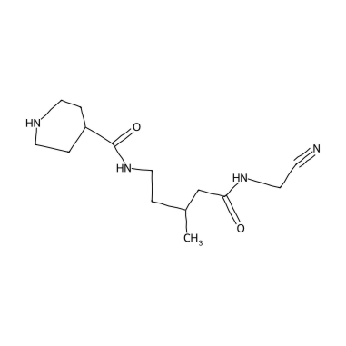 CC(CCNC(=O)C1CCNCC1)CC(=O)NCC#N